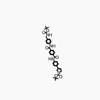 CC(C)(C)OC(=O)NCc1ccc(NC(=O)c2ccc(C(=O)Nc3ccc(C4=CCN(C(=O)OC(C)(C)C)C4)cc3)cc2)cc1